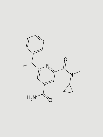 C[C@H](c1ccccc1)c1cc(C(N)=O)cc(C(=O)N(C)C2CC2)n1